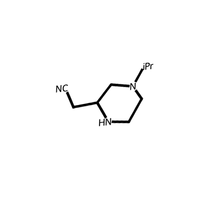 CC(C)N1CCNC(CC#N)C1